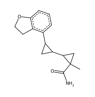 CC1(C(N)=O)CC1C1CC1c1cccc2c1CCO2